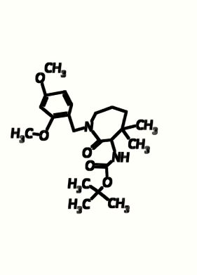 COc1ccc(CN2CCCC(C)(C)C(NC(=O)OC(C)(C)C)C2=O)c(OC)c1